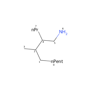 CCCCCCC(C)C(CN)CCC